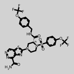 NC(=O)c1nncc2sc(N3CCN(S(=O)(=O)c4ccc(OC(F)(F)F)cc4)[C@@H](C(=O)NCc4ccc(OC(F)(F)F)cc4)C3)nc12